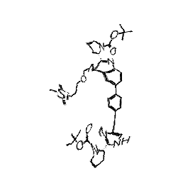 CC(C)(C)OC(=O)N1CCC[C@H]1c1nc(-c2ccc(-c3ccc4nc([C@@H]5CCCN5C(=O)OC(C)(C)C)n(COCC[Si](C)(C)C)c4c3)cc2)c[nH]1